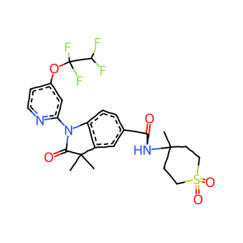 CC1(NC(=O)c2ccc3c(c2)C(C)(C)C(=O)N3c2cc(OC(F)(F)C(F)F)ccn2)CCS(=O)(=O)CC1